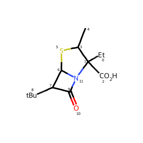 CCC1(C(=O)O)C(C)SC2C(C(C)(C)C)C(=O)N21